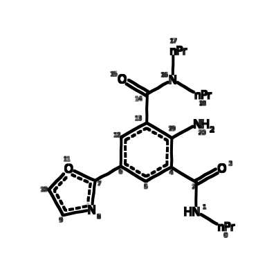 CCCNC(=O)c1cc(-c2ncco2)cc(C(=O)N(CCC)CCC)c1N